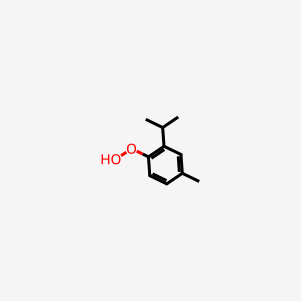 Cc1ccc(OO)c(C(C)C)c1